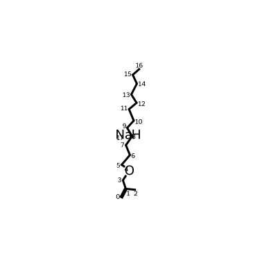 C=C(C)COCCCCCCCCCCCC.[NaH]